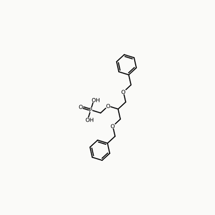 O=P(O)(O)COC(COCc1ccccc1)COCc1ccccc1